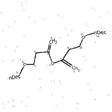 C=C(CCOCCCCCCCCCC)OC(=C)CCOCCCCCCCCCC